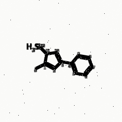 CC1=CC(c2ccccc2)=CC1[SiH3]